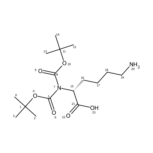 CC(C)(C)OC(=O)N(C(=O)OC(C)(C)C)[C@H](CCCCN)C(=O)O